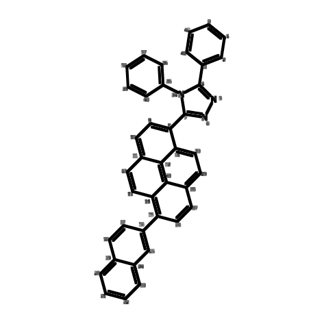 c1ccc(-c2nnc(-c3ccc4ccc5c(-c6ccc7ccccc7c6)ccc6ccc3c4c65)n2-c2ccccc2)cc1